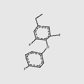 CCc1cc(F)c(Oc2ccc(F)cc2)c(F)c1